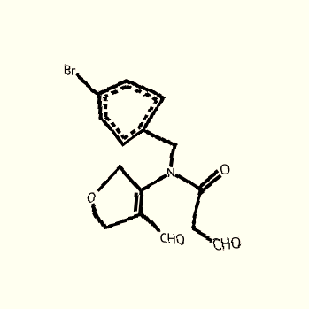 O=CCC(=O)N(Cc1ccc(Br)cc1)C1=C(C=O)COC1